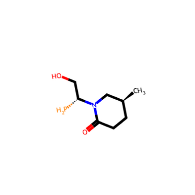 C[C@H]1CCC(=O)N([C@H](P)CO)C1